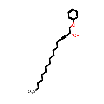 O=S(=O)(O)CCCCCCCCCCCCC#C[C@@H](O)COc1ccccc1